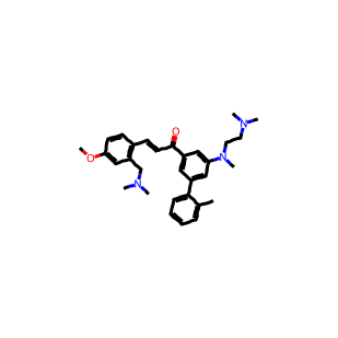 COc1ccc(/C=C/C(=O)c2cc(-c3ccccc3C)cc(N(C)CCN(C)C)c2)c(CN(C)C)c1